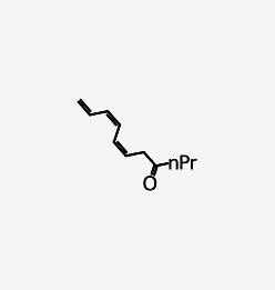 C=C/C=C\C=C/CC(=O)CCC